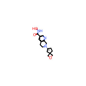 O=C(NO)c1cnc2c(c1)CCN([C@@H]1CCC3(COC3)C1)C2